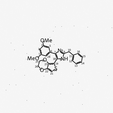 COc1cc(OC)cc(-c2nc(Cc3ccccc3)[nH]c2-c2scc3c2OCCO3)c1